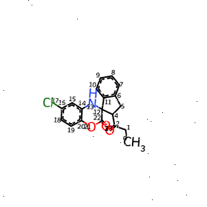 CCC(=O)C1Cc2ccccc2C12Nc1cc(Cl)ccc1OC2=O